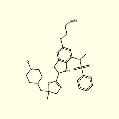 COCCOc1cc2c(c(N(C)S(=O)(=O)c3ccccn3)c1)NC(C1=NCC(C)(CN3CC[S+]([O-])CC3)S1)C2